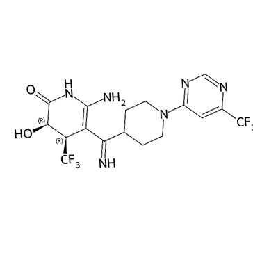 N=C(C1=C(N)NC(=O)[C@H](O)[C@@H]1C(F)(F)F)C1CCN(c2cc(C(F)(F)F)ncn2)CC1